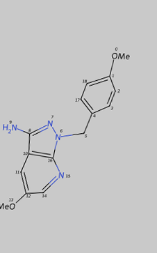 COc1ccc(Cn2nc(N)c3cc(OC)cnc32)cc1